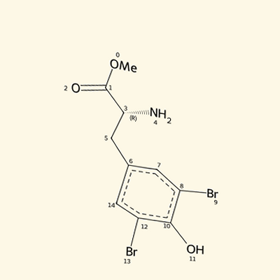 COC(=O)[C@H](N)Cc1cc(Br)c(O)c(Br)c1